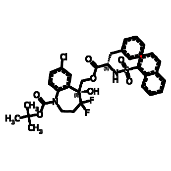 CC(C)(C)OC(=O)N1CCC(F)(F)[C@](O)(COC(=O)[C@H](Cc2ccccc2)NS(=O)(=O)c2cccc3ccccc23)c2cc(Cl)ccc21